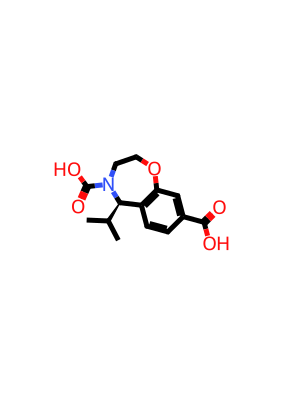 CC(C)[C@@H]1c2ccc(C(=O)O)cc2OCCN1C(=O)O